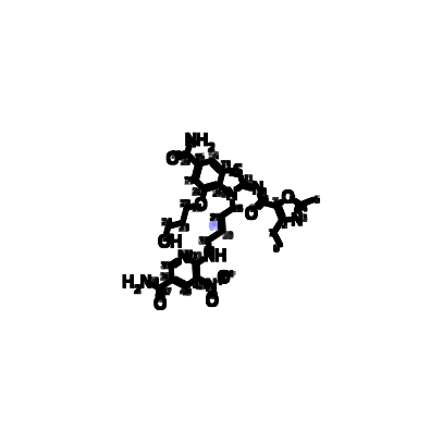 CCc1nc(C)oc1C(=O)N=c1sc2cc(C(N)=O)cc(OCCCO)c2n1C/C=C/CNc1ncc(C(N)=O)cc1[N+](=O)[O-]